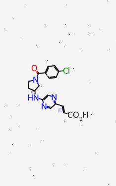 O=C(O)/C=C/c1cnc(N[C@@H]2CCN(C(=O)c3ccc(Cl)cc3)C2)cn1